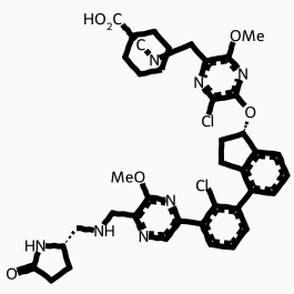 COc1nc(-c2cccc(-c3cccc4c3CC[C@@H]4Oc3nc(OC)c(CN4CC5(C(=O)O)CCC4CC5)nc3Cl)c2Cl)cnc1CNC[C@@H]1CCC(=O)N1